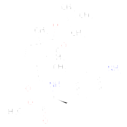 COC(=O)[C@H](Cc1ccc(N)cc1)NC(=O)C1CCC(C)(C(=O)OC(C)(C)C)C1(C)C